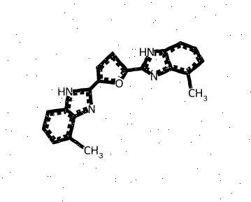 Cc1cccc2[nH]c(-c3ccc(-c4nc5c(C)cccc5[nH]4)o3)nc12